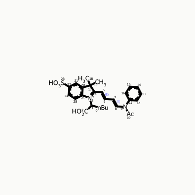 CCCCC(C(=O)O)[N+]1=C(/C=C/C=C/N(C(C)=O)c2ccccc2)C(C)(C)c2cc(S(=O)(=O)O)ccc21